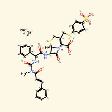 CN(C(=O)C=Cc1ccccc1)C(=O)NC(C(=O)NC1C(=O)N2C(C(=O)[O-])=C(CSc3ccc(S(=O)(=O)[O-])cc3)CS[C@@H]12)c1ccccc1.[Na+].[Na+]